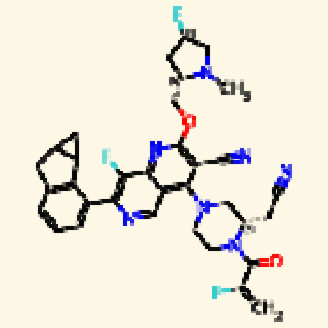 C=C(F)C(=O)N1CCN(c2c(C#N)c(OC[C@@H]3C[C@@H](F)CN3C)nc3c(F)c(-c4cccc5c4C4CC4C5)ncc23)C[C@@H]1CC#N